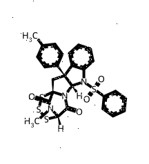 Cc1ccc([C@]23C[C@@]45SSS[C@@H](C(=O)N4[C@H]2N(S(=O)(=O)c2ccccc2)c2ccccc23)N(C)C5=O)cc1